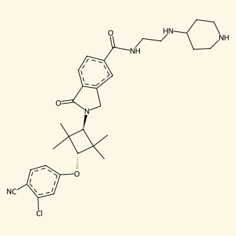 CC1(C)[C@H](Oc2ccc(C#N)c(Cl)c2)C(C)(C)[C@H]1N1Cc2cc(C(=O)NCCNC3CCNCC3)ccc2C1=O